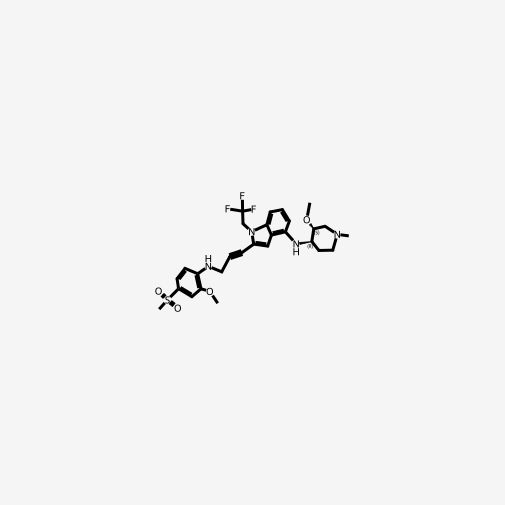 COc1cc(S(C)(=O)=O)ccc1NCC#Cc1cc2c(N[C@@H]3CCN(C)C[C@@H]3OC)cccc2n1CC(F)(F)F